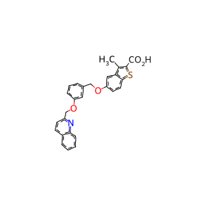 Cc1c(C(=O)O)sc2ccc(OCc3cccc(OCc4ccc5ccccc5n4)c3)cc12